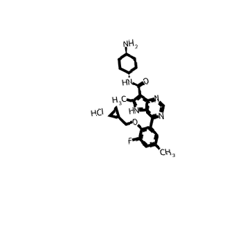 Cc1cc(F)c(OCC2CC2)c(-c2ncnc3c(C(=O)N[C@H]4CC[C@H](N)CC4)c(C)[nH]c23)c1.Cl